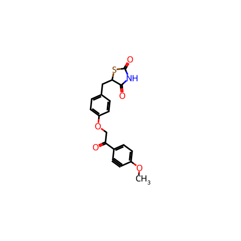 COc1c#cc(C(=O)COc2ccc(CC3SC(=O)NC3=O)cc2)cc1